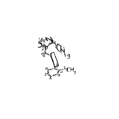 CCc1ccccc1OCc1scnc1C